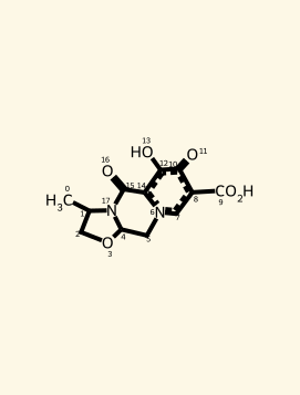 CC1COC2Cn3cc(C(=O)O)c(=O)c(O)c3C(=O)N12